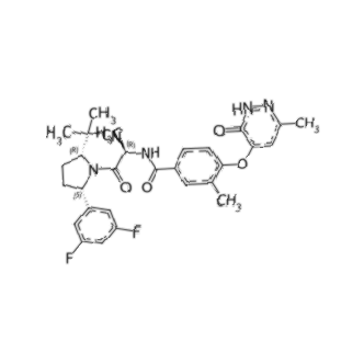 Cc1cc(Oc2ccc(C(=O)N[C@H](C)C(=O)N3[C@H](c4cc(F)cc(F)c4)CC[C@@H]3C(C)(C)C#N)cc2C)c(=O)[nH]n1